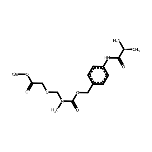 C[C@H](N)C(=O)Nc1ccc(COC(=O)N(C)COCC(=O)OC(C)(C)C)cc1